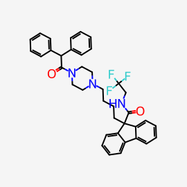 O=C(C(c1ccccc1)c1ccccc1)N1CCN(CCCCC2(C(=O)NCC(F)(F)F)c3ccccc3-c3ccccc32)CC1